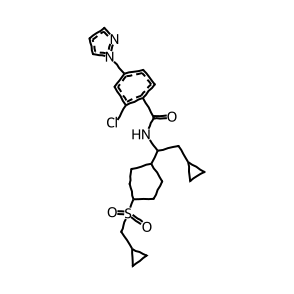 O=C(NC(CC1CC1)C1CCC(S(=O)(=O)CC2CC2)CC1)c1ccc(-n2cccn2)cc1Cl